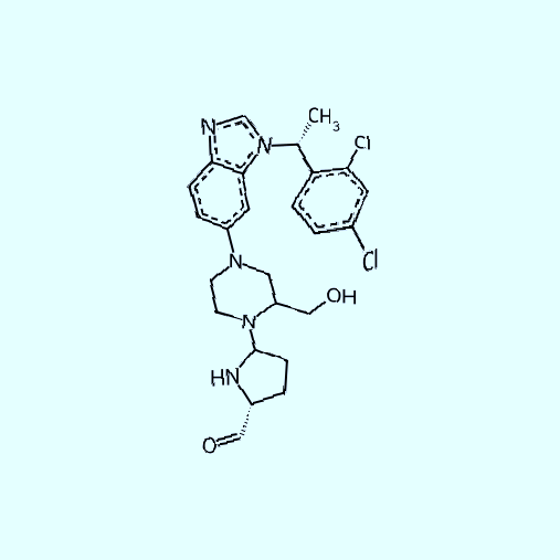 C[C@H](c1ccc(Cl)cc1Cl)n1cnc2ccc(N3CCN(C4CC[C@H](C=O)N4)C(CO)C3)cc21